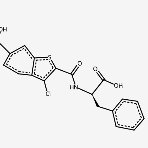 O=C(N[C@H](Cc1ccccc1)C(=O)O)c1sc2cc(CO)ccc2c1Cl